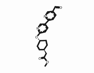 COC(=O)C[C@H]1CC[C@H](Oc2ccc(-c3ccc(C=O)cn3)cn2)CC1